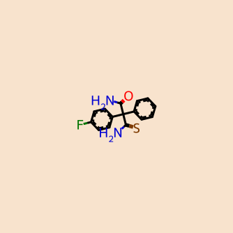 NC(=O)C(C(N)=S)(c1ccccc1)c1ccc(F)cc1